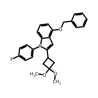 COC1(OC)CC(c2cc3c(OCc4ccccc4)cccc3n2-c2ccc(F)cc2)C1